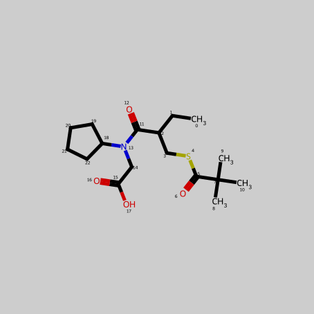 CCC(CSC(=O)C(C)(C)C)C(=O)N(CC(=O)O)C1CCCC1